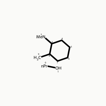 CCCO.CNC1CCCCC1C